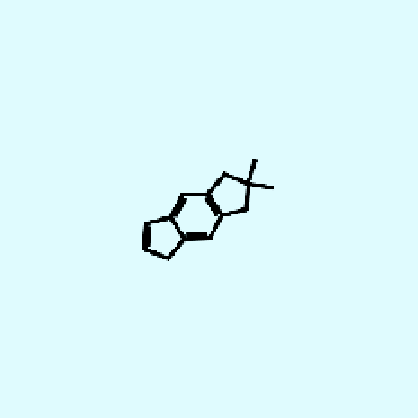 CC1(C)Cc2cc3c(cc2C1)CC=C3